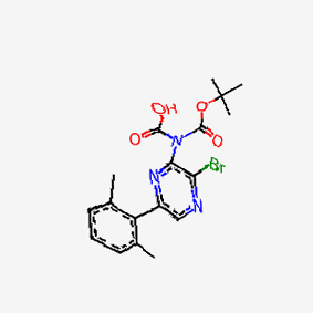 Cc1cccc(C)c1-c1cnc(Br)c(N(C(=O)O)C(=O)OC(C)(C)C)n1